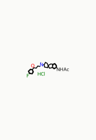 CC(=O)Nc1ccc2c(c1)CC1(CCC(N(C)CCCC(=O)c3ccc(F)cc3)CC1)C2.Cl